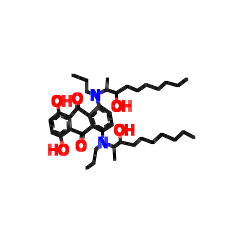 CCCCCCCC(O)C(C)N(CCC)c1ccc(N(CCC)C(C)C(O)CCCCCCC)c2c1C(=O)c1c(O)ccc(O)c1C2=O